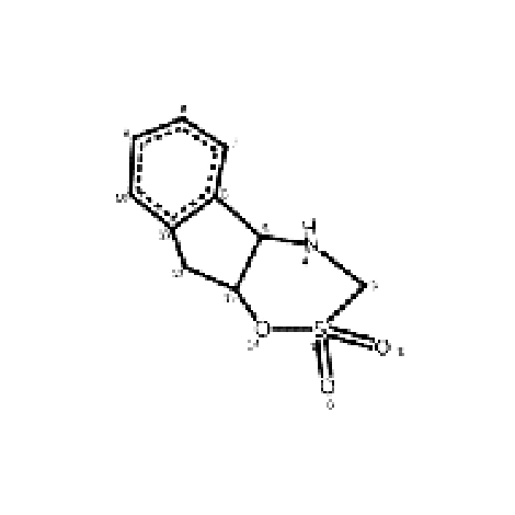 O=S1(=O)CNC2c3ccccc3CC2O1